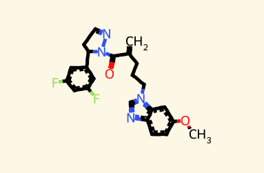 C=C(CCCn1cnc2ccc(OC)cc21)C(=O)N1N=CCC1c1cc(F)cc(F)c1